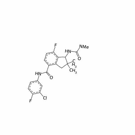 CNC(=O)NC1c2c(F)ccc(C(=O)Nc3ccc(F)c(Cl)c3)c2CC1(C)C